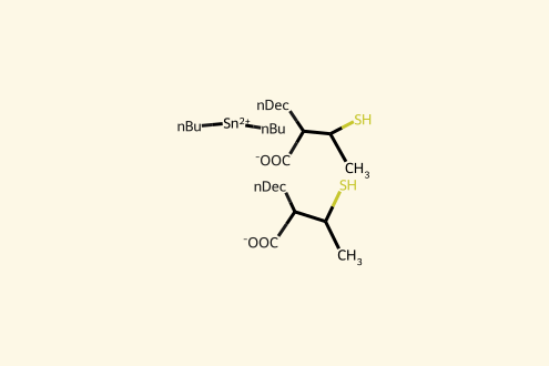 CCCCCCCCCCC(C(=O)[O-])C(C)S.CCCCCCCCCCC(C(=O)[O-])C(C)S.CCC[CH2][Sn+2][CH2]CCC